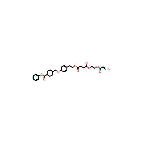 C=CC(=O)OCCOC(=O)CCC(=O)OCCc1ccc(OCC2CCC(C(=O)Oc3ccccc3)CC2)cc1